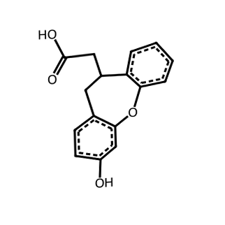 O=C(O)CC1Cc2ccc(O)cc2Oc2ccccc21